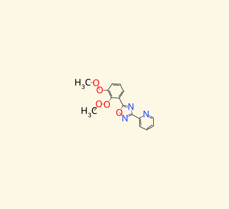 COOc1cccc(-c2nc(-c3ccccn3)no2)c1OOC